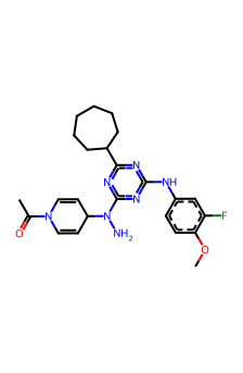 COc1ccc(Nc2nc(C3CCCCCC3)nc(N(N)C3C=CN(C(C)=O)C=C3)n2)cc1F